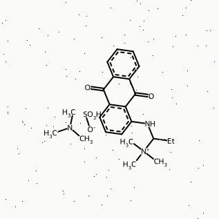 CCC(Nc1cccc2c1C(=O)c1ccccc1C2=O)[N+](C)(C)C.CN(C)C.O=S(=O)([O-])O